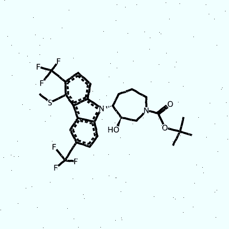 CSc1c(C(F)(F)F)ccc2c1c1cc(C(F)(F)F)ccc1n2[C@@H]1CCCN(C(=O)OC(C)(C)C)C[C@H]1O